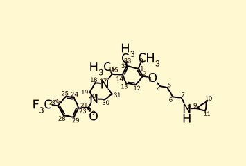 Cc1c(OCCCCNC2CC2)ccc(C(C)N2CCN(C(=O)c3ccc(C(F)(F)F)cc3)CC2)c1C